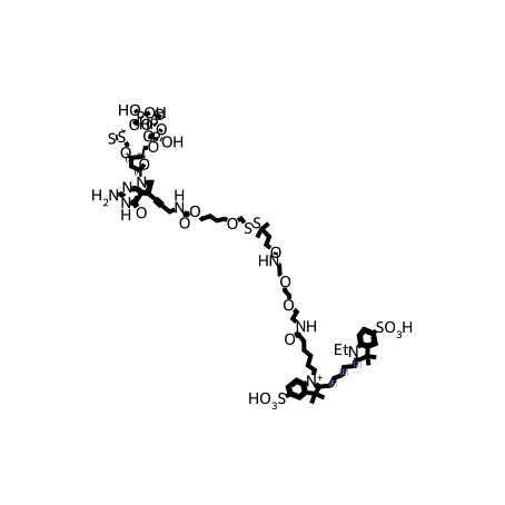 CCN1\C(=C/C=C/C=C/C2=[N+](CCCCCC(=O)NCCOCCOCCNOCCC(C)(C)SSCOCCCCOC(=O)NCC#Cc3cn([C@H]4C[C@H](OCS(C)=S)[C@@H](COP(=O)(O)O[PH](=O)OP(=O)(O)O)O4)c4nc(N)[nH]c(=O)c34)c3ccc(S(=O)(=O)O)cc3C2(C)C)C(C)(C)c2cc(S(=O)(=O)O)ccc21